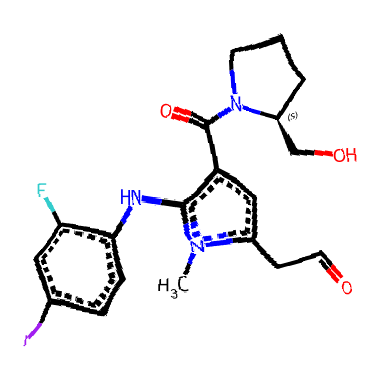 Cn1c(CC=O)cc(C(=O)N2CCC[C@H]2CO)c1Nc1ccc(I)cc1F